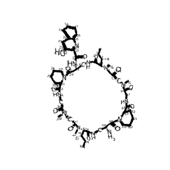 CC[C@H](C)[C@H]1C(=O)NC[C@@H](NC(=O)c2nc3ccccc3cc2O)C(=O)N2CCCC[C@H]2C(=O)NCC(=O)N(C)CC(=O)N(C)[C@@H]([C@@H](C)CC)C(=O)NC[C@@H](N)C(=O)N2CCCC[C@H]2C(=O)NCC(=O)N(C)CC(=O)N1C